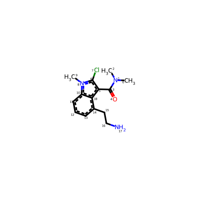 CN(C)C(=O)c1c(Cl)n(C)c2cccc(CCN)c12